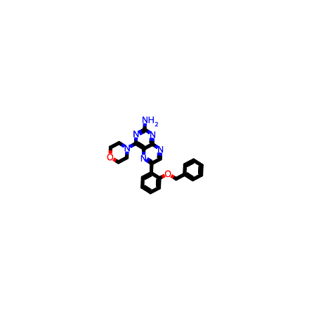 Nc1nc(N2CCOCC2)c2nc(-c3ccccc3OCc3ccccc3)cnc2n1